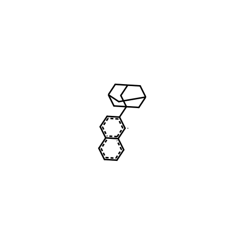 [c]1c(C23CC4CC(CC(C4)C2)C3)ccc2ccccc12